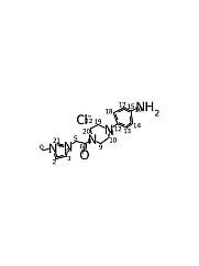 C[n+]1ccn(CC(=O)N2CCN(c3ccc(N)cc3)CC2)c1.[Cl-]